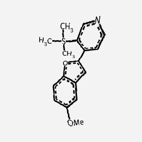 COc1ccc2oc(-c3ccncc3S(C)(C)C)cc2c1